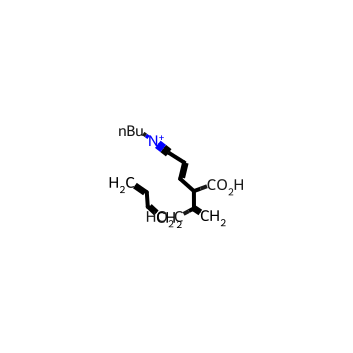 C=C(C(=O)O)C(C=CC#[N+]CCCC)C(=O)O.C=CC=C